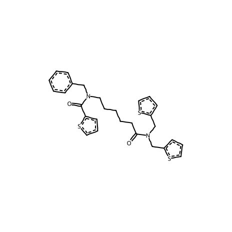 O=C(CCCCCN(Cc1ccccc1)C(=O)c1cccs1)N(Cc1cccs1)Cc1cccs1